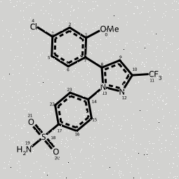 COc1cc(Cl)ccc1-c1cc(C(F)(F)F)nn1-c1ccc(S(N)(=O)=O)cc1